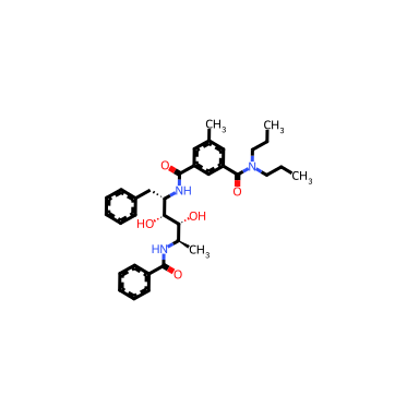 CCCN(CCC)C(=O)c1cc(C)cc(C(=O)N[C@@H](Cc2ccccc2)[C@@H](O)[C@H](O)[C@@H](C)NC(=O)c2ccccc2)c1